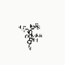 CC(C)Cc1cc2c(=O)c3c4ccc(C#N)cc4[nH]c3n(C3CNC3)c2cc1-c1cncc(S(=O)(=O)F)c1